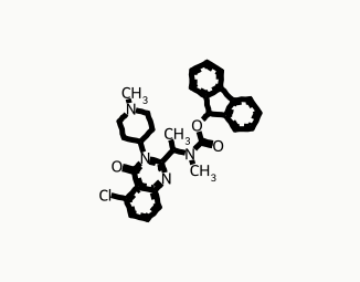 CC(c1nc2cccc(Cl)c2c(=O)n1C1CCN(C)CC1)N(C)C(=O)OC1c2ccccc2-c2ccccc21